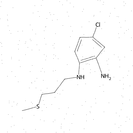 CSCCCNc1ccc(Cl)cc1N